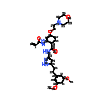 C=CC(=O)Nc1cc(OCCN2CCOCC2)ccc1C(=O)Nc1cc(CCc2cc(OC)cc(OC)c2)[nH]n1